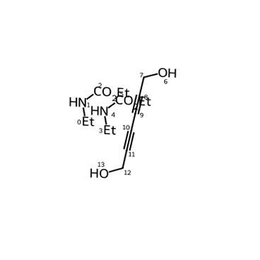 CCNC(=O)OCC.CCNC(=O)OCC.OCC#CC#CCO